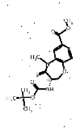 COC(=O)c1ccc2c(c1)N(C)C(=S)[C@@H](NC(=O)OC(C)(C)C)CO2